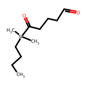 CCCC[Si](C)(C)C(=O)CCCC=O